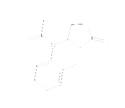 Cc1ccc(C)c(N(C(=O)CCl)C2COC(=O)C2)c1C